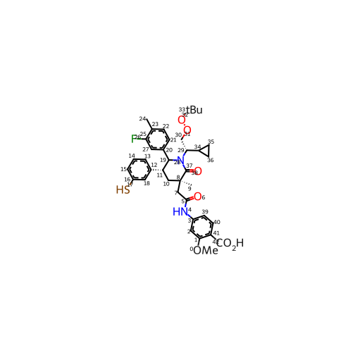 COc1cc(NC(=O)C[C@@]2(C)C[C@H](c3cccc(S)c3)C(c3ccc(C)c(F)c3)N([C@H](COOC(C)(C)C)C3CC3)C2=O)ccc1C(=O)O